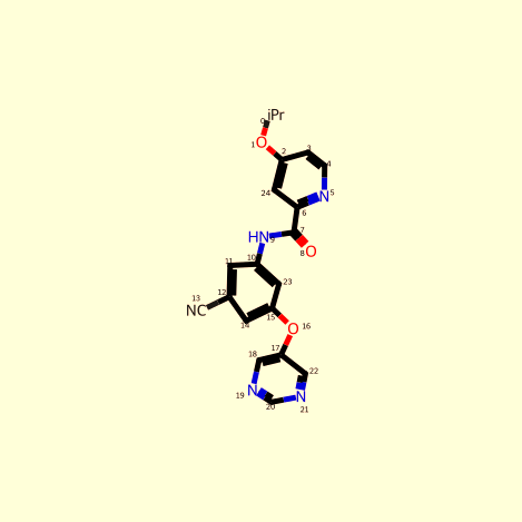 CC(C)Oc1ccnc(C(=O)Nc2cc(C#N)cc(Oc3cncnc3)c2)c1